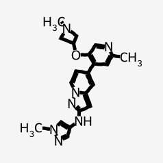 Cc1cc(-c2ccn3nc(Nc4cnn(C)c4)cc3c2)c(OC2CN(C)C2)cn1